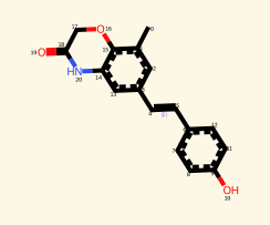 Cc1cc(/C=C/c2ccc(O)cc2)cc2c1OCC(=O)N2